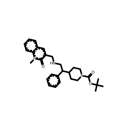 Cn1c(=O)c(CNCC(c2ccccc2)C2CCN(C(=O)OC(C)(C)C)CC2)cc2ccccc21